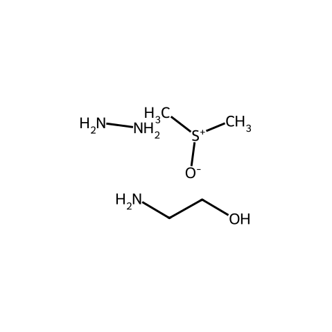 C[S+](C)[O-].NCCO.NN